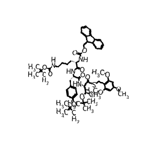 COc1cc(OC)c(CSC(=O)[C@@H](NC(=O)[C@H](Cc2ccc(OC(C)(C)C)cc2)NC(=O)[C@H](CCCCNC(=O)OC(C)(C)C)NC(=O)OCC2c3ccccc3-c3ccccc32)[C@@H](C)OC(C)(C)C)c(OC)c1